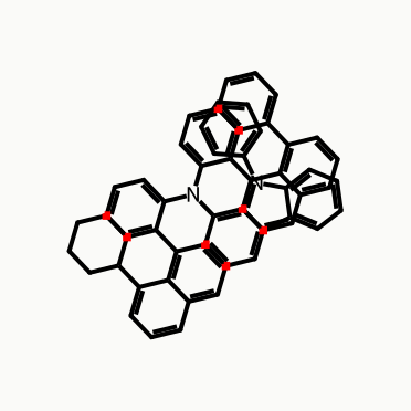 c1ccc(-c2cccc3cccc(-c4ccccc4N(c4ccccc4-c4cccc5cccc(C6CCCCC6)c45)c4cccc5c6ccccc6n(-c6ccccc6)c45)c23)cc1